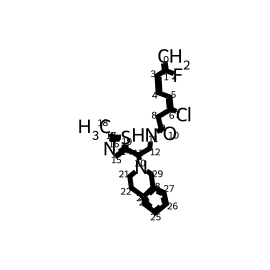 C=C(F)/C=C\C=C(\Cl)CC(=O)NCC(c1cnc(C)s1)N1CCc2ccccc2C1